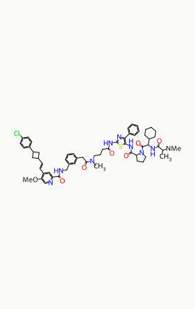 CNC(C)C(=O)NC(C(=O)N1CCCC1C(=O)Nc1sc(NC(=O)CCCN(C)C(=O)Cc2cccc(CNC(=O)c3cc(C=CC4CC(c5ccc(Cl)cc5)C4)c(OC)cn3)c2)nc1-c1ccccc1)C1CCCCC1